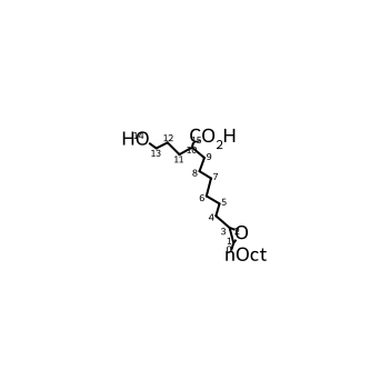 CCCCCCCCC1OC1CCCCCCC(CCCO)C(=O)O